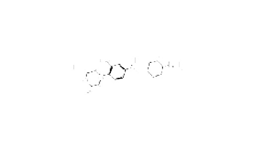 C[C@@H]1CN(c2ccc(NC[C@H]3CC[C@H](N)CC3)cc2Cl)C[C@H](C)O1